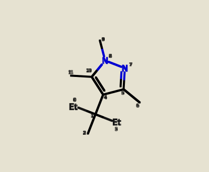 CCC(C)(CC)c1c(C)nn(C)c1C